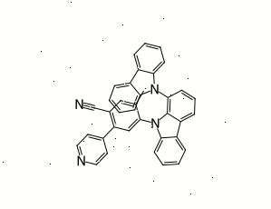 Cc1cc(C#N)c(-c2ccncc2)cc1-n1c2ccccc2c2cccc(-n3c4ccccc4c4ccccc43)c21